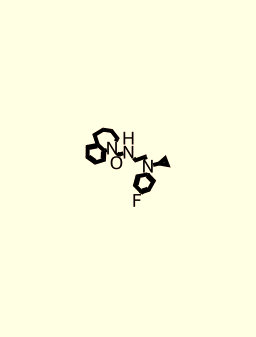 O=C(NCCN(c1ccc(F)cc1)C1CC1)N1CCCCc2ccccc21